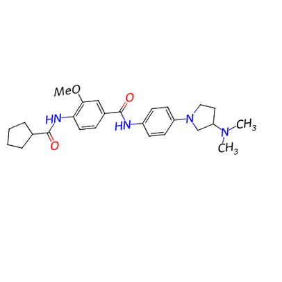 COc1cc(C(=O)Nc2ccc(N3CCC(N(C)C)C3)cc2)ccc1NC(=O)C1CCCC1